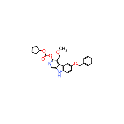 COCc1c(OC(=O)OC2CCCC2)ncc2[nH]c3ccc(OCc4ccccc4)cc3c12